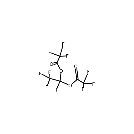 O=C(OC(I)(OC(=O)C(F)(F)F)C(F)(F)F)C(F)(F)F